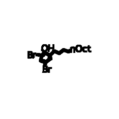 CCCCCCCCCCCCc1cc(Br)cc(Br)c1O